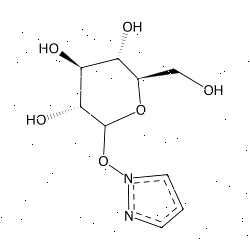 OC[C@H]1OC(On2cccn2)[C@H](O)[C@@H](O)[C@@H]1O